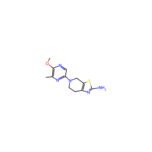 COc1ncc(N2CCc3nc(N)sc3C2)nc1C